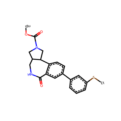 CCSc1cccc(-c2ccc3c(c2)C(=O)NCC2CN(C(=O)OC(C)(C)C)CC32)c1